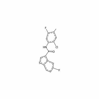 Cc1cc(Cl)c(NC(=O)c2csc3ccc(F)cc23)cc1F